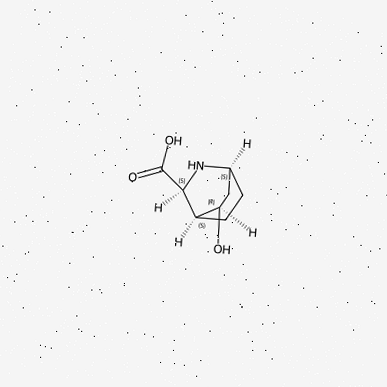 O=C(O)[C@H]1N[C@H]2CC[C@@H]1[C@H](O)C2